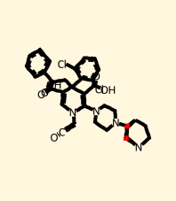 O=C=CN1C=C(C(=O)O)C(CC(=O)c2ccccc2)(c2c(Cl)cccc2Cl)C(C(=O)O)=C1N1CCN(C2CN3CCC2CC3)CC1